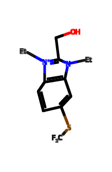 CCn1c(CO)[n+](CC)c2ccc(SC(F)(F)F)cc21